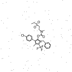 CCS(=O)(=O)CCN(C)C(=O)Oc1c(-c2ccc(Cl)cc2)c(C)c(C(F)(F)F)n1Cc1ccccc1